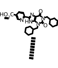 C=C.C=C.C=C.C=C.C=C.C=C.C=C.C=C.C=C.O=C(O)c1ccc(-c2nc3c(=O)n(CC4CCCCC4)c(=O)n(CC4CCCCC4)c3[nH]2)nc1